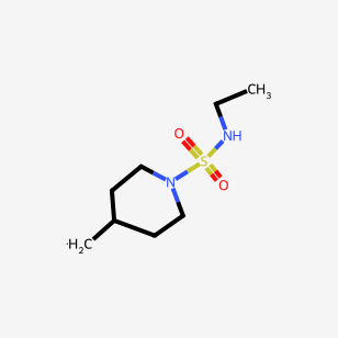 [CH2]C1CCN(S(=O)(=O)NCC)CC1